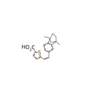 CC12CCC(C)(C1)c1cc(/C=C\c3ccc(C(=O)O)s3)ccc12